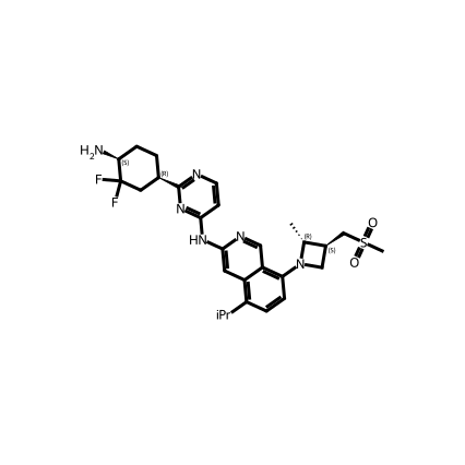 CC(C)c1ccc(N2C[C@H](CS(C)(=O)=O)[C@H]2C)c2cnc(Nc3ccnc([C@@H]4CC[C@H](N)C(F)(F)C4)n3)cc12